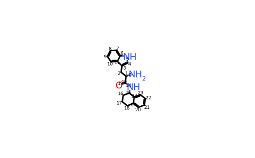 NC(Cc1c[nH]c2ccccc12)C(=O)NC1CCCc2ccccc21